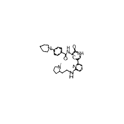 CN1CCCC1CCNc1cccc(-c2c[nH]c(=O)c(NC(=O)c3ccc(N4CCCCC4)cc3)c2)n1